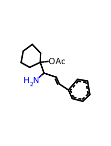 CC(=O)OC1(C(N)C=Cc2ccccc2)CCCCC1